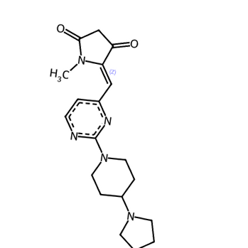 CN1C(=O)CC(=O)/C1=C/c1ccnc(N2CCC(N3CCCC3)CC2)n1